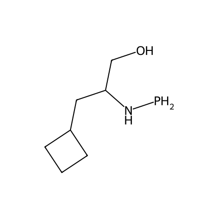 OCC(CC1CCC1)NP